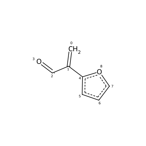 C=C([C]=O)c1ccco1